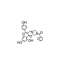 O=C(c1ccco1)N1CCN(Cc2c(-c3ccc(O)cc3)oc3cc(O)cc(O)c3c2=O)CC1